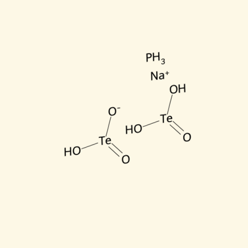 O=[Te](O)O.O=[Te]([O-])O.P.[Na+]